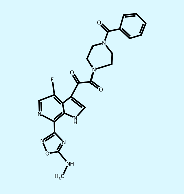 CNc1nc(-c2ncc(F)c3c(C(=O)C(=O)N4CCN(C(=O)c5ccccc5)CC4)c[nH]c23)no1